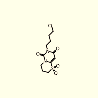 O=c1cc2n(c(=O)n1CCCCCl)CCCS2(=O)=O